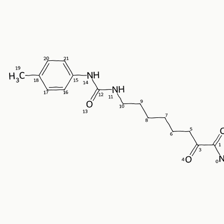 CNC(=O)C(=O)CCCCCCNC(=O)Nc1ccc(C)cc1